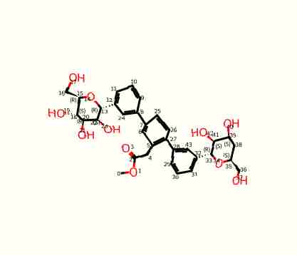 COC(=O)Cc1cc(-c2cccc([C@H]3O[C@H](CO)[C@@H](O)[C@H](O)[C@@H]3O)c2)ccc1-c1cccc([C@H]2O[C@H](CO)C[C@H](O)[C@@H]2O)c1